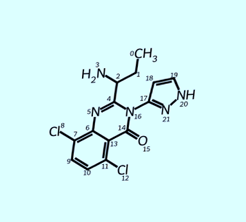 CCC(N)c1nc2c(Cl)ccc(Cl)c2c(=O)n1-c1cc[nH]n1